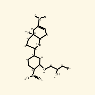 CN(C)C1=CCC2NC(C3CCC([N+](=O)[O-])C(OCC(O)CF)C3)CC[C@@H]2C1